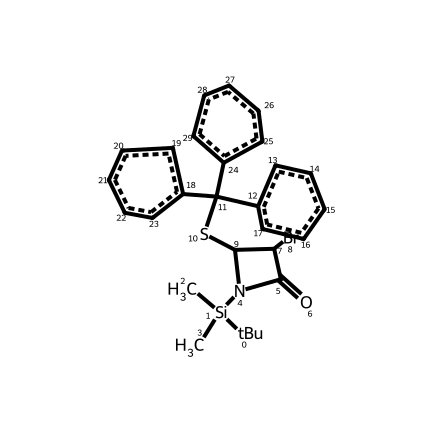 CC(C)(C)[Si](C)(C)N1C(=O)C(Br)C1SC(c1ccccc1)(c1ccccc1)c1ccccc1